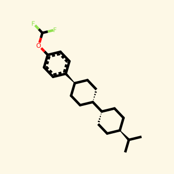 CC(C)[C@H]1CC[C@H]([C@H]2CC[C@H](c3ccc(OC(F)F)cc3)CC2)CC1